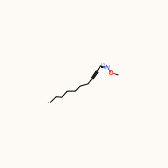 [CH2]CCCCCCC#C/C=N\OC